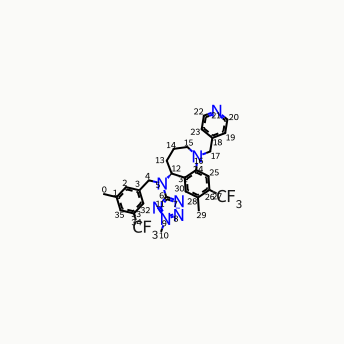 Cc1cc(CN(c2nnn(C)n2)[C@H]2CCCN(Cc3ccncc3)c3cc(C(F)(F)F)c(C)cc32)cc(C(F)(F)F)c1